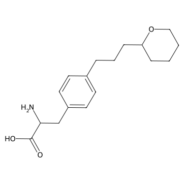 NC(Cc1ccc(CCCC2CCCCO2)cc1)C(=O)O